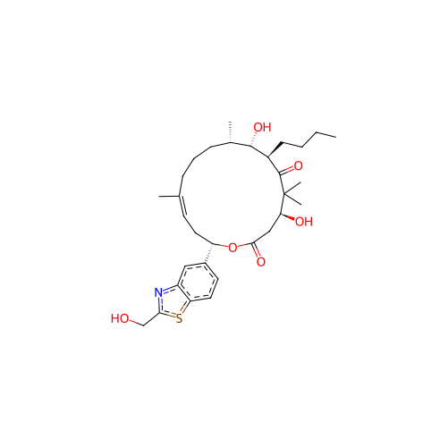 CCCC[C@H]1C(=O)C(C)(C)[C@@H](O)CC(=O)O[C@H](c2ccc3sc(CO)nc3c2)C/C=C(/C)CCC[C@H](C)[C@@H]1O